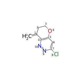 C=C1CCOc2cc(Cl)nnc21